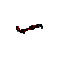 C=C(CC/C=C\CCCCC=Cc1ccccc1)C(=O)OCCCCCCCCCCCOc1cccc2c(OCCCCCC)cccc12